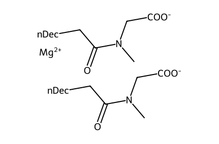 CCCCCCCCCCCC(=O)N(C)CC(=O)[O-].CCCCCCCCCCCC(=O)N(C)CC(=O)[O-].[Mg+2]